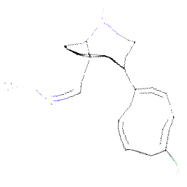 CO/N=C\C12C3NCC1(c1ccc(F)cc1)C32